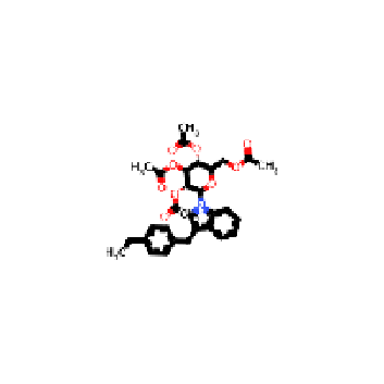 CCc1ccc(Cc2cn(C3OC(COC(C)=O)[C@@H](OC(C)=O)C(OC(C)=O)[C@H]3OC(C)=O)c3ccccc23)cc1